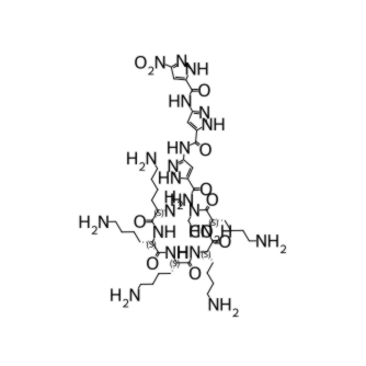 NCCCC[C@H](NC(=O)[C@H](CCCCN)NC(=O)[C@@H](N)CCCCN)C(=O)N[C@@H](CCCCN)C(=O)N[C@@H](CCCCN)C(=O)N(CC(=O)O)NC(=O)c1cc(NC(=O)c2cc(NC(=O)c3cc([N+](=O)[O-])n[nH]3)n[nH]2)n[nH]1